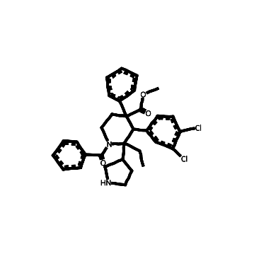 CCC1(C2CCNC2)C(c2ccc(Cl)c(Cl)c2)C(C(=O)OC)(c2ccccc2)CCN1C(=O)c1ccccc1